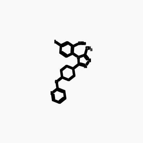 CSc1cc(I)ccc1-n1c(C)nnc1C1CCC(Oc2ccccn2)CC1